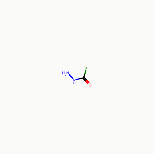 NNC(=O)F